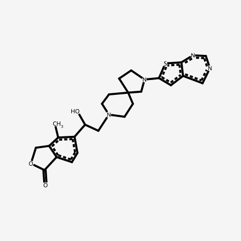 Cc1c(C(O)CN2CCC3(CC2)CCN(c2cc4cncnc4s2)C3)ccc2c1COC2=O